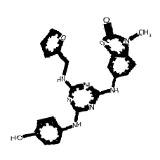 Cn1c(=O)oc2cc(Nc3nc(NCc4ccco4)nc(Nc4ccc(O)cc4)n3)ccc21